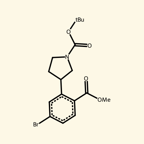 COC(=O)c1ccc(Br)cc1C1CCN(C(=O)OC(C)(C)C)C1